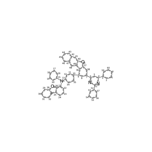 c1ccc(-c2cc(-c3cc(-c4ccc(N(c5ccccc5)c5cccc6c5oc5ccccc56)cc4)c4c(c3)oc3cc5ccccc5cc34)nc(-c3ccccc3)n2)cc1